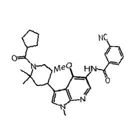 COc1c(NC(=O)c2cccc(C#N)c2)cnc2c1c(C1CCN(C(=O)C3CCCC3)C(C)(C)C1)cn2C